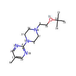 Cc1cnc(N2CCN(CCOC(C)(C)C)CC2)nc1